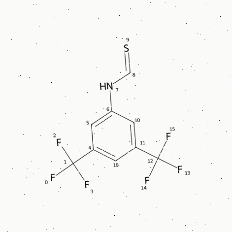 FC(F)(F)c1cc(NC=S)cc(C(F)(F)F)c1